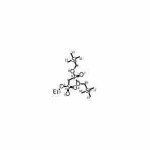 CCOS(=O)(=O)CP(=O)(OC[Si](C)(C)C)OC[Si](C)(C)C